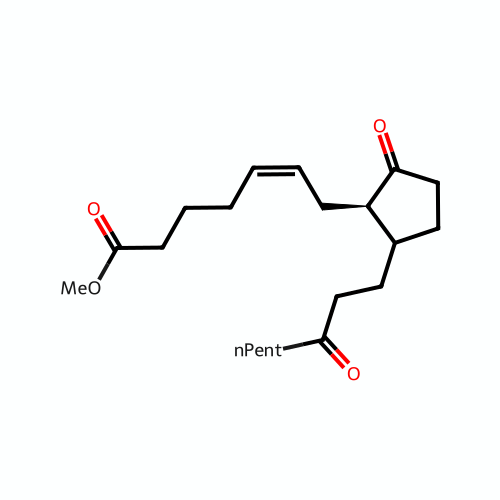 CCCCCC(=O)CCC1CCC(=O)[C@@H]1C/C=C\CCCC(=O)OC